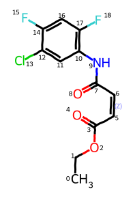 CCOC(=O)/C=C\C(=O)Nc1cc(Cl)c(F)cc1F